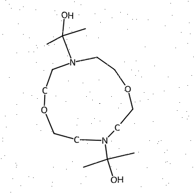 CC(C)(O)N1CCOCCN(C(C)(C)O)CCOCC1